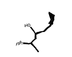 C#CCC(O)C(C)CCC